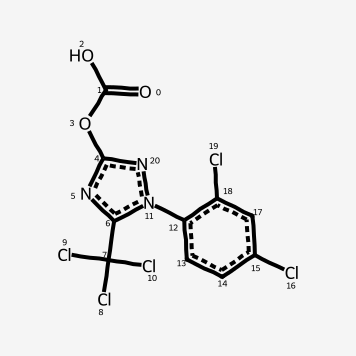 O=C(O)Oc1nc(C(Cl)(Cl)Cl)n(-c2ccc(Cl)cc2Cl)n1